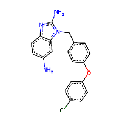 Nc1ccc2nc(N)n(Cc3ccc(Oc4ccc(Cl)cc4)cc3)c2c1